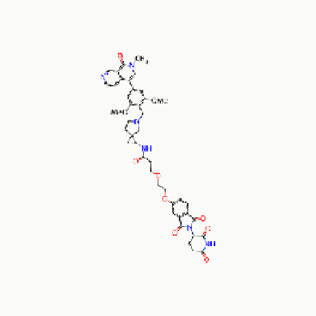 COc1cc(-c2cn(C)c(=O)c3cnccc23)cc(OC)c1CN1CCC2(C[C@H]2NC(=O)CCOCCOc2ccc3c(c2)C(=O)N(C2CCC(=O)NC2=O)C3=O)C1